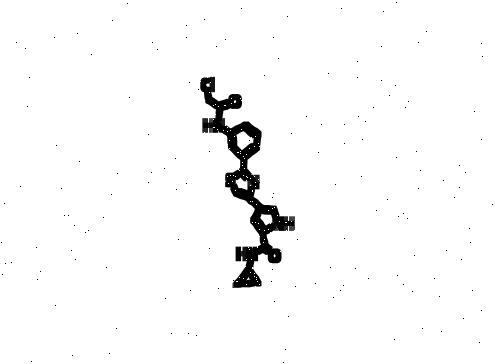 O=C(CCl)Nc1cccc(-c2nc(-c3c[nH]c(C(=O)NC4CC4)c3)cs2)c1